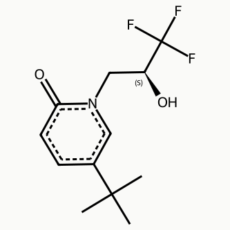 CC(C)(C)c1ccc(=O)n(C[C@H](O)C(F)(F)F)c1